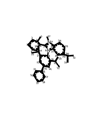 Cc1ccccc1-c1n(-c2c(C(C)C)cc(-c3ccccc3)cc2C(C)C)c2cc(C(C)C)ccc2[n+]1C